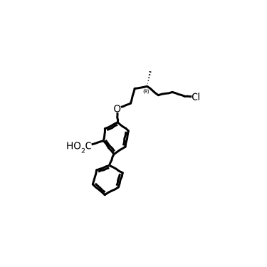 C[C@H](CCCCl)CCOc1ccc(-c2ccccc2)c(C(=O)O)c1